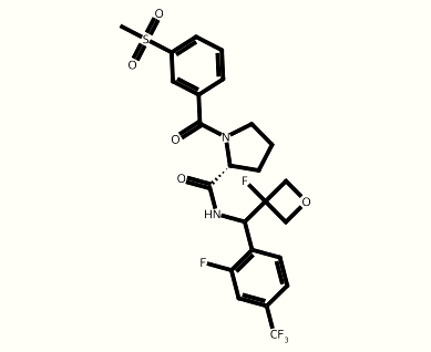 CS(=O)(=O)c1cccc(C(=O)N2CCC[C@@H]2C(=O)NC(c2ccc(C(F)(F)F)cc2F)C2(F)COC2)c1